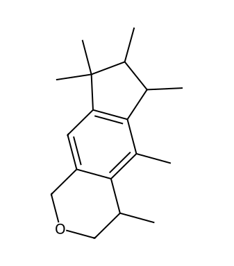 Cc1c2c(cc3c1C(C)C(C)C3(C)C)COCC2C